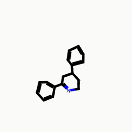 [CH]1CN=C(c2ccccc2)CC1c1ccccc1